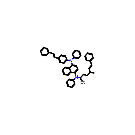 CCC(CCC(C)C=Cc1ccccc1)N(c1ccccc1)c1ccc(N(c2ccccc2)c2ccc(C=Cc3ccccc3)cc2)c2ccccc12